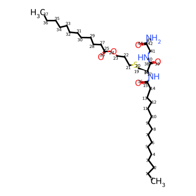 CCCCCCCCCCCCCCCC(=O)N[C@@H](CSCCCOC(=O)CCCCCCCCCCC)C(=O)NCC(N)=O